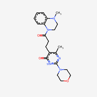 Cc1nc(N2CCOCC2)[nH]c(=O)c1CCC(=O)N1CCN(C)c2ccccc21